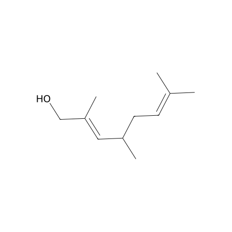 CC(C)=CCC(C)/C=C(\C)CO